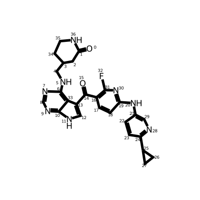 O=C1CC(CNc2ncnc3[nH]cc(C(=O)c4ccc(Nc5ccc(C6CC6)nc5)nc4F)c23)CCN1